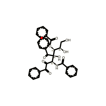 O=C(N[C@@H](C(=O)C(=O)c1ccccc1)[C@](O)(C(=O)c1ccccc1)[C@@H](OC(=O)c1ccccc1)[C@H](O)CO)c1ccccc1